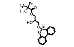 CCC(C)(C)C(=O)OCC(O)COP1(=O)Oc2ccccc2-c2ccccc21